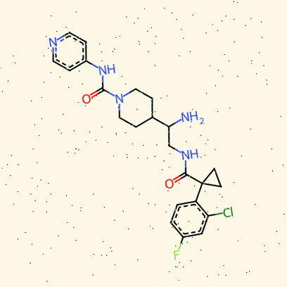 NC(CNC(=O)C1(c2ccc(F)cc2Cl)CC1)C1CCN(C(=O)Nc2ccncc2)CC1